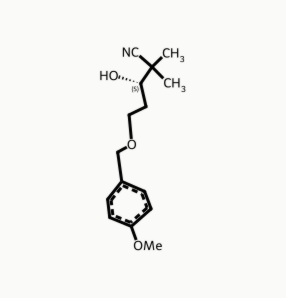 COc1ccc(COCC[C@H](O)C(C)(C)C#N)cc1